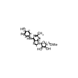 COC[C@H]1O[C@@H](n2cnc3c(Nc4ccc(O)c(F)c4)nc(C)nc32)[C@H](O)[C@@H]1O